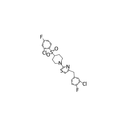 O=S(=O)(c1ccc(F)cc1Cl)C1CCN(c2nc(Cc3ccc(F)c(Cl)c3)cs2)CC1